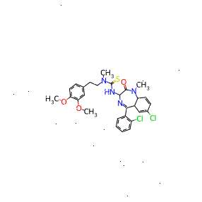 COc1ccc(CCN(C)C(=S)NC2N=C(c3ccccc3Cl)C3C=C(Cl)C=CC3N(C)C2=O)cc1OC